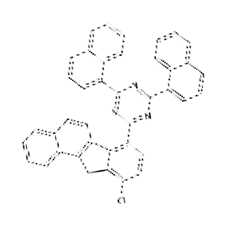 Clc1ccc(-c2nc(-c3cccc4ccccc34)nc(-c3cccc4ccccc34)n2)c2c1Cc1c-2ccc2ccccc12